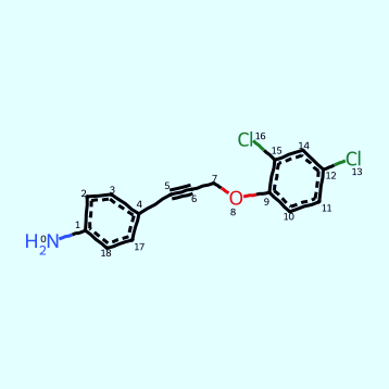 Nc1ccc(C#CCOc2ccc(Cl)cc2Cl)cc1